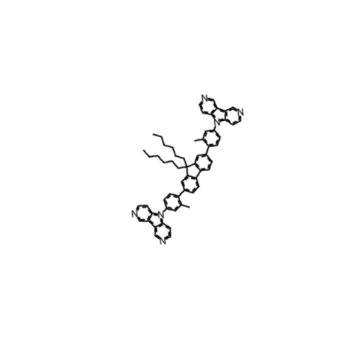 CCCCCCC1(CCCCCC)c2cc(-c3ccc(-n4c5ccncc5c5cnccc54)cc3C)ccc2-c2ccc(-c3ccc(-n4c5ccncc5c5cnccc54)cc3C)cc21